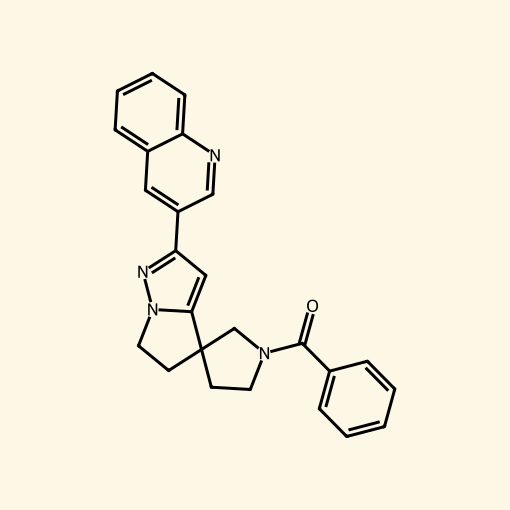 O=C(c1ccccc1)N1CCC2(CCn3nc(-c4cnc5ccccc5c4)cc32)C1